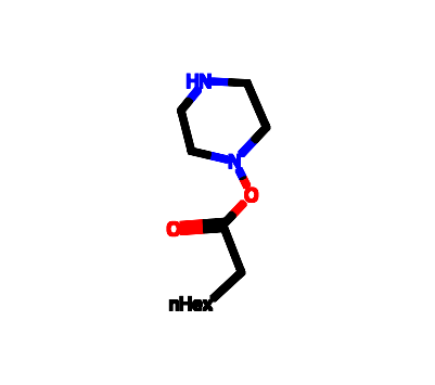 CCCCCCCC(=O)ON1CCNCC1